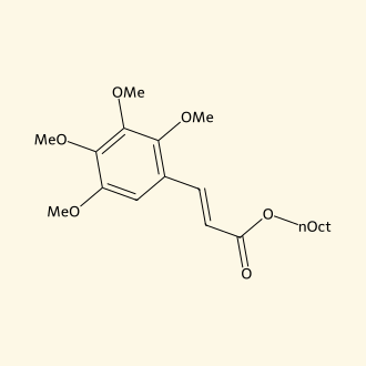 CCCCCCCCOC(=O)C=Cc1cc(OC)c(OC)c(OC)c1OC